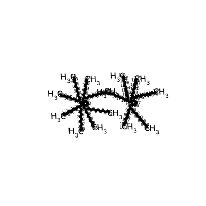 CCCCCCCCCCC(CCCCCCCC)CC1(CC(CCCCCCCC)CCCCCCCCCC)CCCC1(CC(CCCCCCCC)CCCCCCCCCC)CC(CCCCCCCC)CCCCCCCCCC.CCCCCCCCCCC(CCCCCCCC)CC1CCCC1(CC(CCCCCCCC)CCCCCCCCCC)CC(CCCCCCCC)CCCCCCCCCC